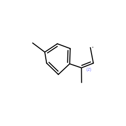 [CH2]/C=C(/C)c1ccc(C)cc1